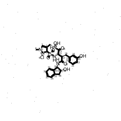 CC1=CN(C)N(Cl)C1S(=O)(=O)N[C@H](C(=O)NO)[C@@H](Cc1cccc(O)c1)C(=O)N[C@H]1c2ccccc2C[C@H]1O